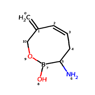 C=C1/C=C\CC(N)B(O)OC1